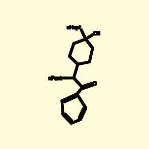 CCCCCCCC1(C#N)CCC(C(CCCCC)C(=O)c2ccccc2)CC1